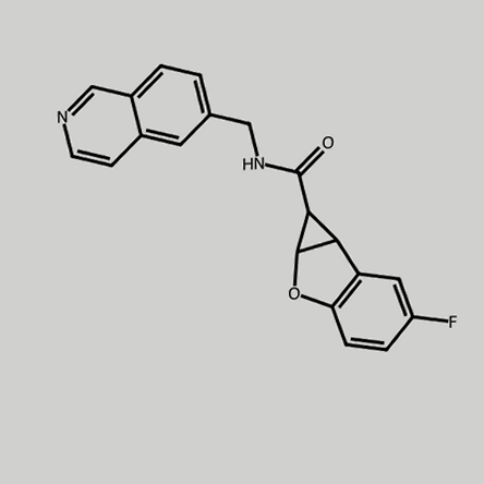 O=C(NCc1ccc2cnccc2c1)C1C2Oc3ccc(F)cc3C21